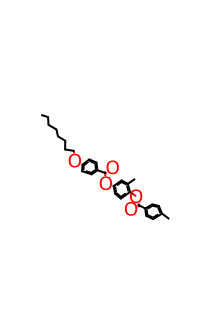 CCCCCCCCOc1ccc(C(=O)Oc2ccc(OC(=O)c3ccc(C)cc3)c(C)c2)cc1